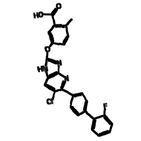 Cc1ccc(Oc2nc3nc(-c4ccc(-c5ccccc5F)cc4)c(Cl)cc3[nH]2)cc1C(=O)O